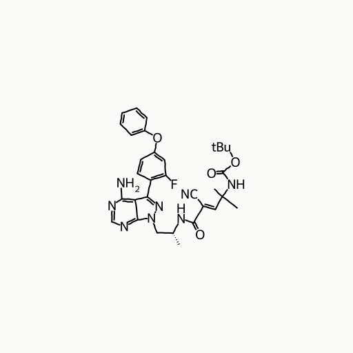 C[C@H](Cn1nc(-c2ccc(Oc3ccccc3)cc2F)c2c(N)ncnc21)NC(=O)/C(C#N)=C/C(C)(C)NC(=O)OC(C)(C)C